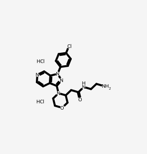 Cl.Cl.NCCNC(=O)CC1COCCN1c1nn(-c2ccc(Cl)cc2)c2cnccc12